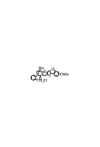 BC(=O)NC(Cc1cnc(-c2ccc(OC)cc2Cl)s1)C(=O)Nc1ccccc1C(=O)OCC